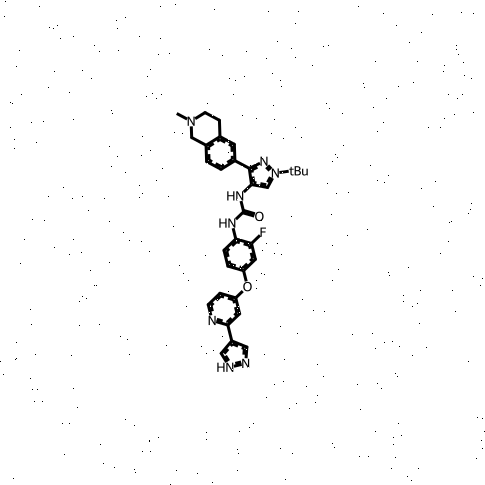 CN1CCc2cc(-c3nn(C(C)(C)C)cc3NC(=O)Nc3ccc(Oc4ccnc(-c5cn[nH]c5)c4)cc3F)ccc2C1